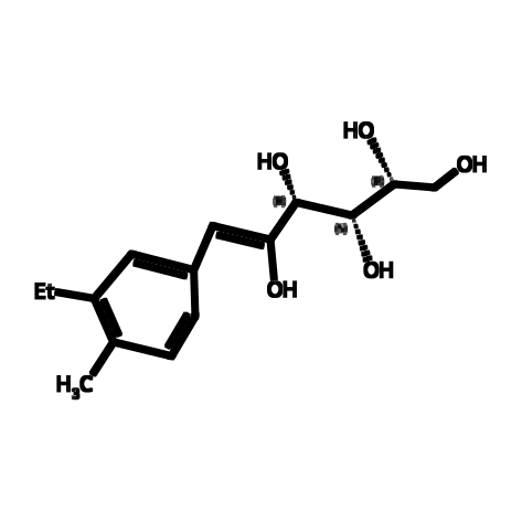 CCc1cc(C=C(O)[C@H](O)[C@@H](O)[C@H](O)CO)ccc1C